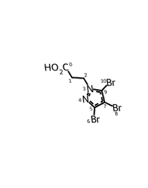 O=C(O)CCn1nc(Br)c(Br)c1Br